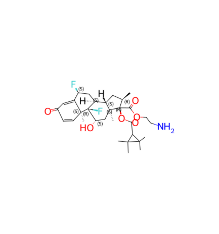 C[C@@H]1C[C@H]2[C@@H]3C[C@H](F)C4=CC(=O)C=C[C@]4(C)[C@@]3(F)[C@@H](O)C[C@]2(C)[C@@]1(OC(=O)C1C(C)(C)C1(C)C)C(=O)OCCN